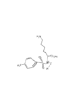 CC(=O)Cl.Cc1ccc(S(=O)(=O)NC(CCCCN)C(=O)O)cc1